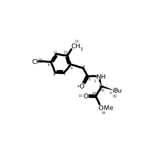 CC[C@H](C)[C@H](NC(=O)Cc1ccc(Cl)cc1C)C(=O)OC